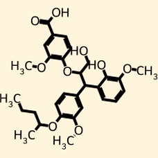 CCCC(C)Oc1ccc(C(c2cccc(OC)c2O)C(CO)Oc2ccc(C(=O)O)cc2OC)cc1OC